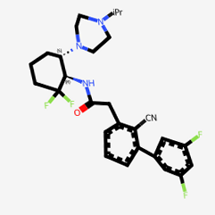 CC(C)N1CCN([C@H]2CCCC(F)(F)[C@@H]2NC(=O)Cc2cccc(-c3cc(F)cc(F)c3)c2C#N)CC1